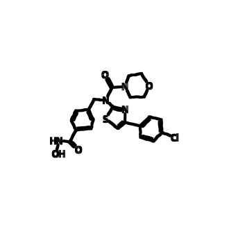 O=C(NO)c1ccc(CN(C(=O)N2CCOCC2)c2nc(-c3ccc(Cl)cc3)cs2)cc1